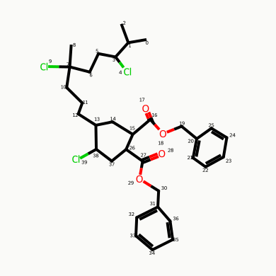 CC(C)C(Cl)CCC(C)(Cl)CCCC1CC(C(=O)OCc2ccccc2)C(C(=O)OCc2ccccc2)CC1Cl